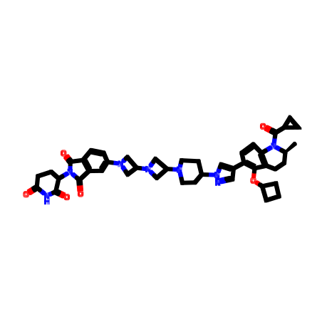 C[C@H]1CCc2c(ccc(-c3cnn(C4CCN(C5CN(C6CN(c7ccc8c(c7)C(=O)N(C7CCC(=O)NC7=O)C8=O)C6)C5)CC4)c3)c2OC2CCC2)N1C(=O)C1CC1